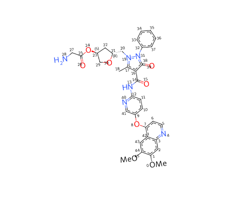 COc1cc2nccc(Oc3ccc(NC(=O)c4c(C)n(C[C@H]5C[C@H](OC(=O)CN)CO5)n(-c5ccccc5)c4=O)nc3)c2cc1OC